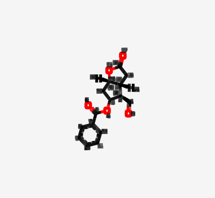 O=C[C@H]1C(OC(=O)c2ccccc2)C[C@@H]2OC(=O)C[C@@H]21